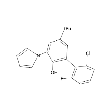 CC(C)(C)c1cc(-c2c(F)cccc2Cl)c(O)c(-n2cccc2)c1